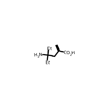 C=C(CC(N)(CC)CC)C(=O)O